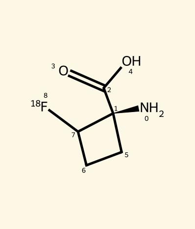 N[C@@]1(C(=O)O)CCC1[18F]